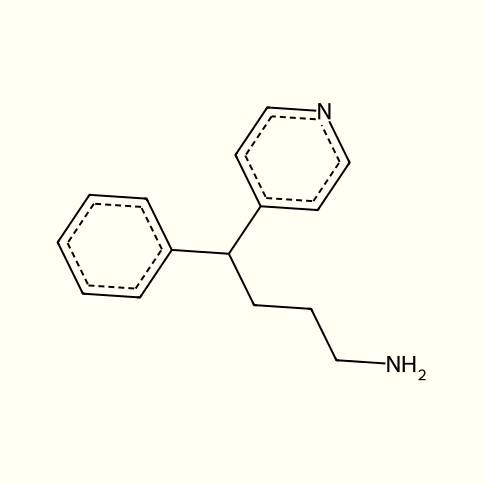 NCCCC(c1ccccc1)c1ccncc1